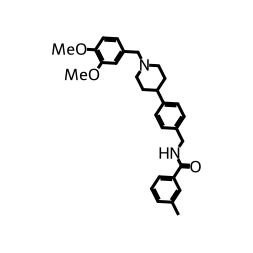 COc1ccc(CN2CCC(c3ccc(CNC(=O)c4cccc(C)c4)cc3)CC2)cc1OC